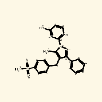 Nc1c(Cc2ccc(S(N)(=O)=O)cc2)c(-c2ccccc2)nn1-c1nccc(O)n1